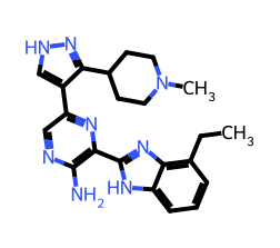 CCc1cccc2[nH]c(-c3nc(-c4c[nH]nc4C4CCN(C)CC4)cnc3N)nc12